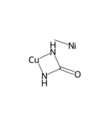 O=C1[NH][Cu][NH]1.[CH3][Ni]